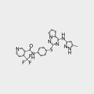 Cc1cc(Nc2nc(Sc3ccc(NC(=O)c4cnccc4C(F)(F)F)cc3)nn3cccc23)n[nH]1